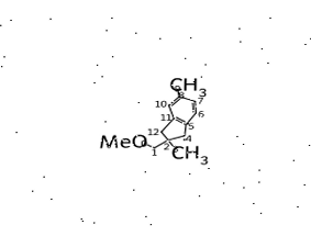 COCC1(C)[CH]c2ccc(C)cc2C1